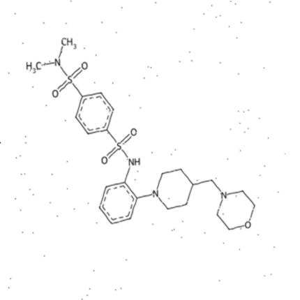 CN(C)S(=O)(=O)c1ccc(S(=O)(=O)Nc2ccccc2N2CCC(CN3CCOCC3)CC2)cc1